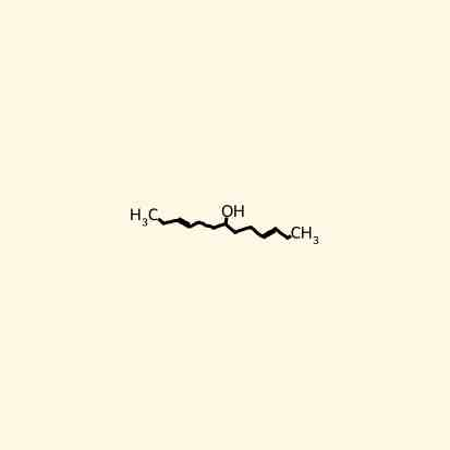 CCC=CCCC(O)CCC=CCC